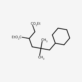 CCOC(=O)CC(CC(C)(C)CC1CCCCC1)C(=O)OCC